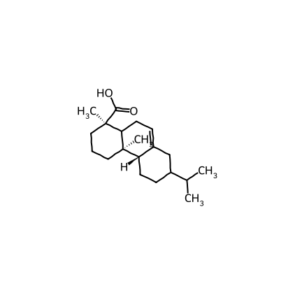 CC(C)C1CC[C@H]2C(=CCC3[C@](C)(C(=O)O)CCC[C@@]32C)C1